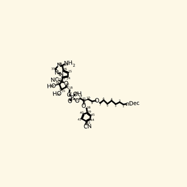 CCCCCCCCCCCCCCCCCOCC[C@H](COP(=O)(O)OC[C@H]1O[C@@](C#N)(c2ccc3c(N)ncnn23)[C@H](O)[C@@H]1O)OCc1ccc(C#N)cc1